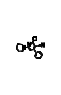 N#Cc1c(-c2ccccc2)cc(N2CCCCC2)nc1Cl